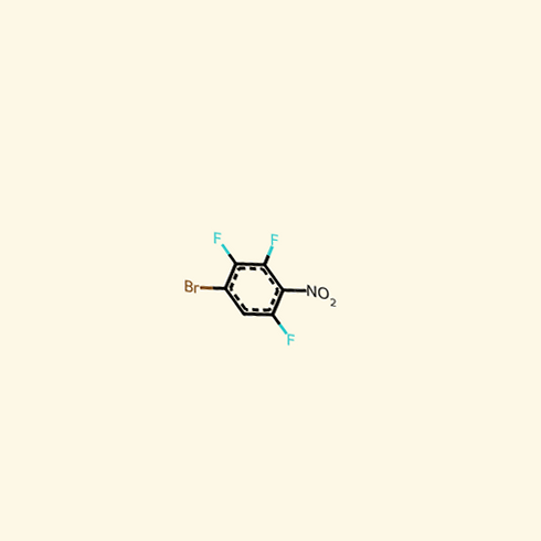 O=[N+]([O-])c1c(F)cc(Br)c(F)c1F